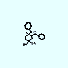 CC(C)C1(C(C)C)CCC(C)(C(=O)c2ccccc2)C(C(=O)c2ccccc2)C1